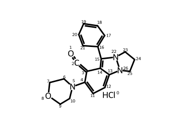 Cl.O=C=c1c(N2CCOCC2)ccc2c1=C(c1ccccc1)N1CCCN21